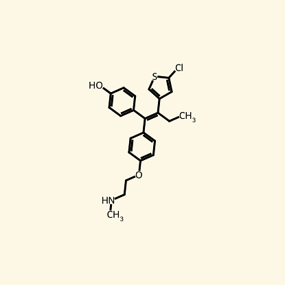 CCC(=C(c1ccc(O)cc1)c1ccc(OCCNC)cc1)c1csc(Cl)c1